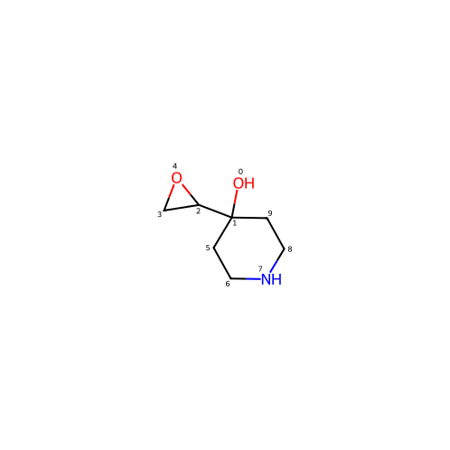 OC1(C2CO2)CCNCC1